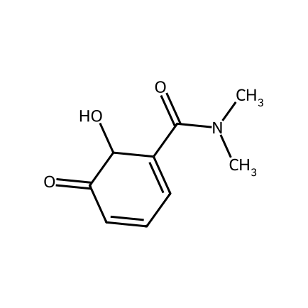 CN(C)C(=O)C1=CC=CC(=O)C1O